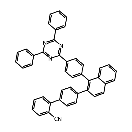 N#Cc1ccccc1-c1ccc(-c2ccc3ccccc3c2-c2ccc(-c3nc(-c4ccccc4)nc(-c4ccccc4)n3)cc2)cc1